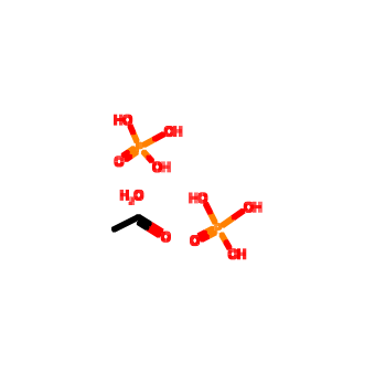 CC=O.O.O=P(O)(O)O.O=P(O)(O)O